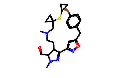 CN(CCC1C(c2cc(Cc3ccc(Br)cc3)on2)=NN(C)C1C=O)CC1(SC2CC2)CC1